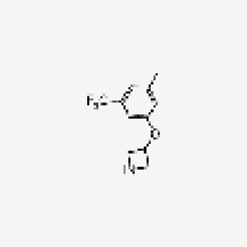 Cc1cc(OC2CNC2)cc(C(F)(F)F)c1